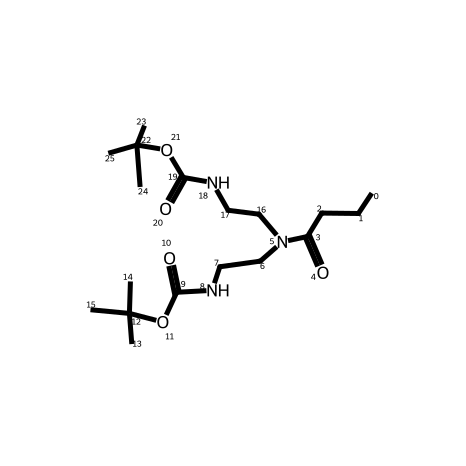 CCCC(=O)N(CCNC(=O)OC(C)(C)C)CCNC(=O)OC(C)(C)C